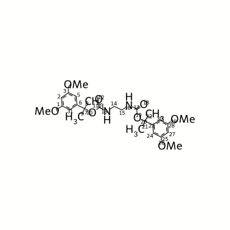 COc1cc(OC)cc(C(C)(C)OC(=O)NCCNC(=O)OC(C)(C)c2cc(OC)cc(OC)c2)c1